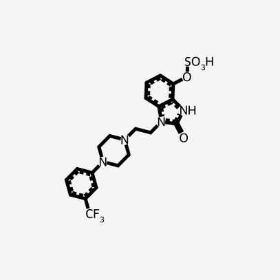 O=c1[nH]c2c(OS(=O)(=O)O)cccc2n1CCN1CCN(c2cccc(C(F)(F)F)c2)CC1